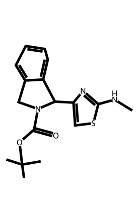 CNc1nc(C2c3ccccc3CN2C(=O)OC(C)(C)C)cs1